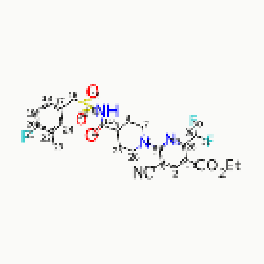 CCOC(=O)c1cc(C#N)c(N2CCC(C(=O)NS(=O)(=O)Cc3ccc(F)c(C)c3)CC2)nc1C(F)F